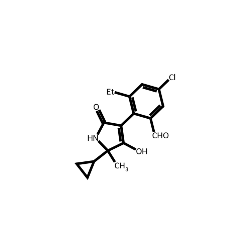 CCc1cc(Cl)cc(C=O)c1C1=C(O)C(C)(C2CC2)NC1=O